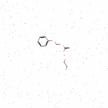 OCCOSC(=S)OCOc1ccccc1